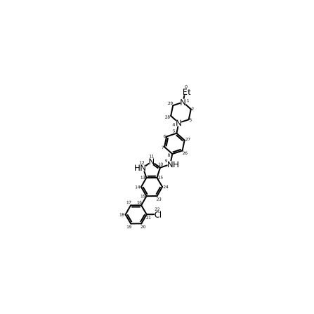 CCN1CCN(c2ccc(Nc3n[nH]c4cc(-c5ccccc5Cl)ccc34)cc2)CC1